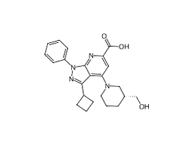 O=C(O)c1cc(N2CCC[C@@H](CO)C2)c2c(C3CCC3)nn(-c3ccccc3)c2n1